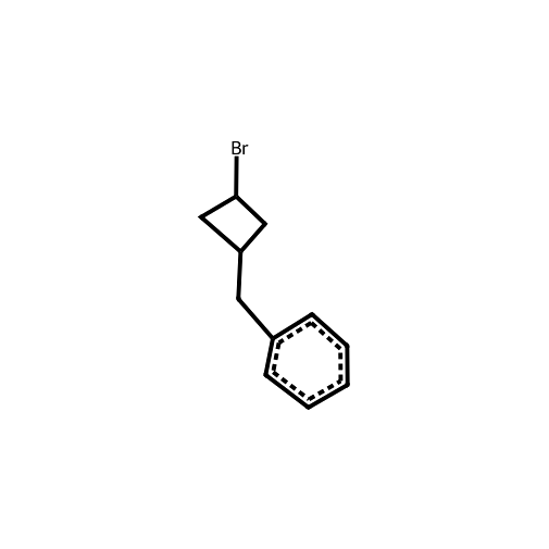 BrC1CC(Cc2ccccc2)C1